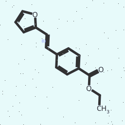 CCOC(=O)c1ccc(/C=C/c2ccco2)cc1